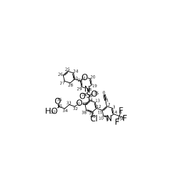 C#Cc1cc(C(F)(F)F)ncc1-c1cc(S(=O)(=O)N2C=COC(C3=CC=CCC3)=C2)c(OCCCC(=O)O)cc1Cl